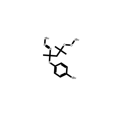 CC(C)(C)N=NC(C)(CC(C)(C)OOC(C)(C)C)Sc1ccc(C(C)(C)C)cc1